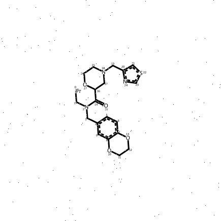 CC(C)CN(Cc1ccc2c(c1)OCCO2)C(=O)C1CN(Cc2cscn2)CCO1